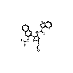 O=CCn1cc(NC(=O)c2cnn3cccnc23)c(-c2cc3ccccc3cc2OC(F)F)n1